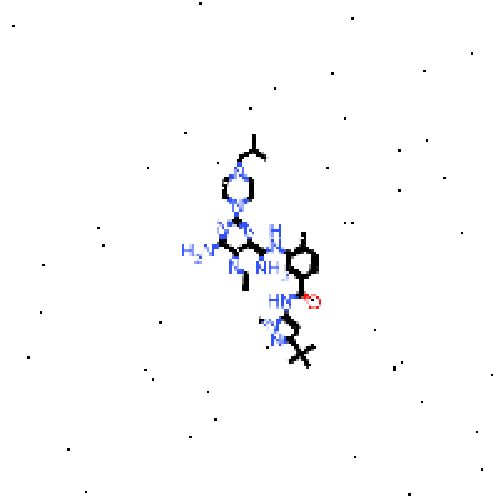 C=C/N=C1/C(N)=NC(N2CCN(CC(C)C)CC2)=N/C1=C(/N)Nc1cc(C(=O)Nc2cc(C(C)(C)C)nn2C)ccc1C